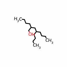 CCCCC(CO)CC(CCCC)CCCC